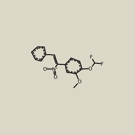 COc1cc(C(=Cc2ccccc2)[N+](=O)[O-])ccc1OC(F)F